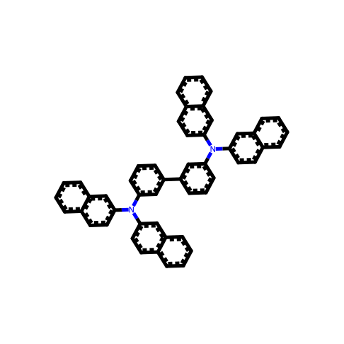 c1cc(-c2cccc(N(c3ccc4ccccc4c3)c3ccc4ccccc4c3)c2)cc(N(c2ccc3ccccc3c2)c2ccc3ccccc3c2)c1